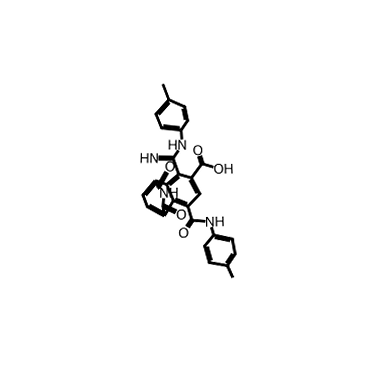 Cc1ccc(NC(=N)c2c(C(=O)O)cc(C(=O)Nc3ccc(C)cc3)c3c4ccc(c(=O)[nH]c4=O)c23)cc1